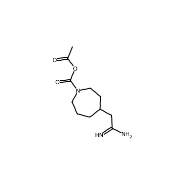 CC(=O)OC(=O)N1CCCC(CC(=N)N)CC1